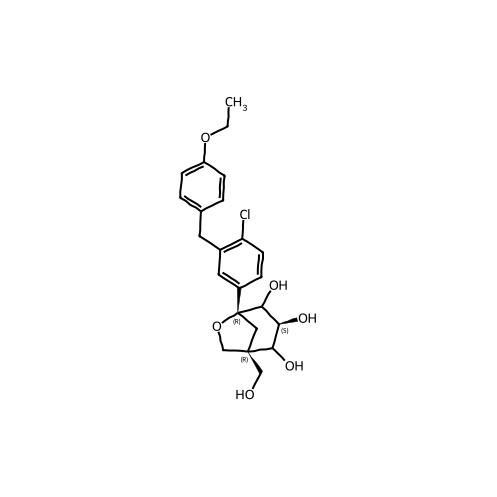 CCOc1ccc(Cc2cc([C@@]34C[C@@](CO)(CO3)C(O)[C@H](O)C4O)ccc2Cl)cc1